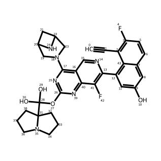 C#Cc1c(F)ccc2cc(O)cc(-c3ncc4c(N5CC6CC(C5)N6)nc(OC(O)(O)C56CCCN5CCC6)nc4c3F)c12